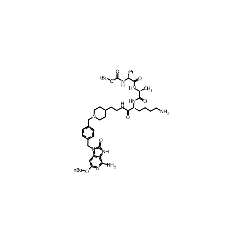 CCCCOc1cc2c([nH]c(=O)n2Cc2ccc(CN3CCC(CCNC(=O)[C@H](CCCCN)NC(=O)[C@H](C)NC(=O)[C@@H](NC(=O)OC(C)(C)C)C(C)C)CC3)cc2)c(N)n1